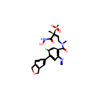 C=Nc1cc(-c2ccc3c(c2)COC3)c(F)cc1C(=O)N(C)CC[C@](C)(C(=O)NO)S(C)(=O)=O